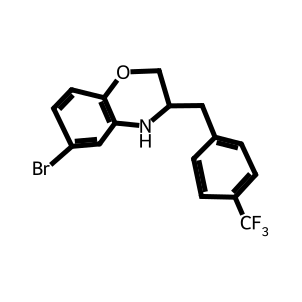 FC(F)(F)c1ccc(CC2COc3ccc(Br)cc3N2)cc1